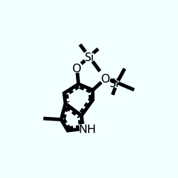 Cc1c[nH]c2cc(O[Si](C)(C)C)c(O[Si](C)(C)C)cc12